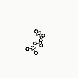 c1ccc(-c2nc(-c3ccccc3)nc(-c3cccc(-n4c5ccccc5c5cc6c7cccc8c9nc%10ccccc%10nc9n(c6cc54)c78)c3)n2)cc1